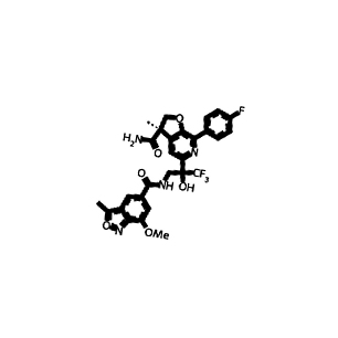 COc1cc(C(=O)NCC(O)(c2cc3c(c(-c4ccc(F)cc4)n2)OC[C@]3(C)C(N)=O)C(F)(F)F)cc2c(C)onc12